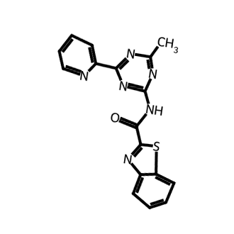 Cc1nc(NC(=O)c2nc3ccccc3s2)nc(-c2ccccn2)n1